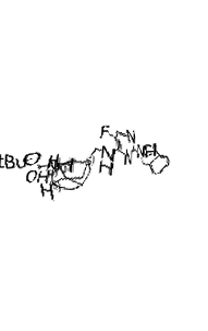 CC(C)(C)OC(=O)N[C@@H]1[C@@H]2CC3C[C@H]1C[C@@](CNc1nc(NCc4ccccc4Cl)ncc1F)(C3)C2